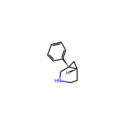 c1ccc([C@]23CNCC[C@H]2C3)cc1